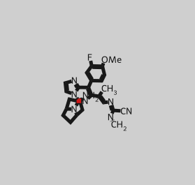 C=N/C(C#N)=N\C=C(/C)c1nc(N2C3CCC2CC(N)C3)n2ccnc2c1-c1ccc(OC)c(F)c1